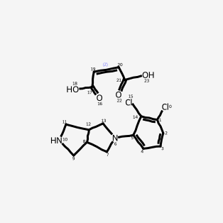 Clc1cccc(N2CC3CNCC3C2)c1Cl.O=C(O)/C=C\C(=O)O